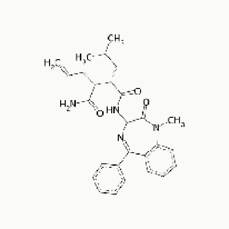 C=CC[C@@H](C(N)=O)[C@H](CC(C)C)C(=O)NC1N=C(c2ccccc2)c2ccccc2N(C)C1=O